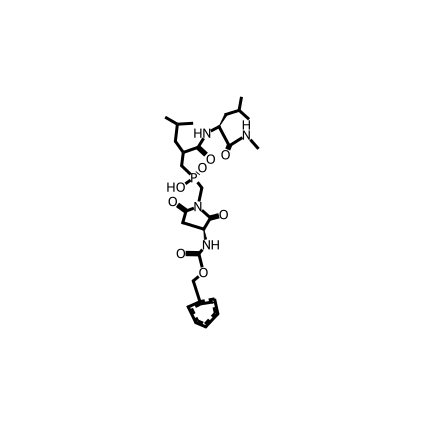 CNC(=O)[C@H](CC(C)C)NC(=O)C(CC(C)C)CP(=O)(O)CN1C(=O)C[C@H](NC(=O)OCc2ccccc2)C1=O